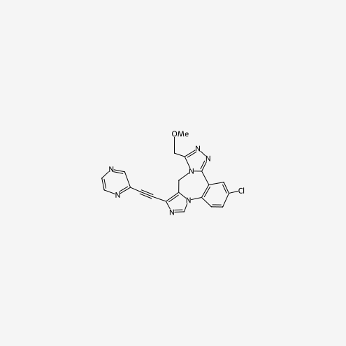 COCc1nnc2n1Cc1c(C#Cc3cnccn3)ncn1-c1ccc(Cl)cc1-2